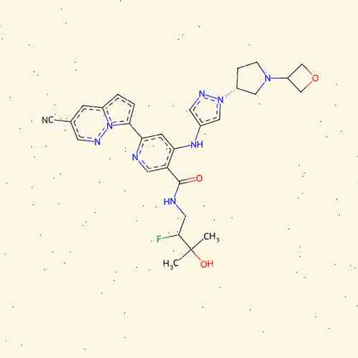 CC(C)(O)C(F)CNC(=O)c1cnc(-c2ccc3cc(C#N)cnn23)cc1Nc1cnn([C@@H]2CCN(C3COC3)C2)c1